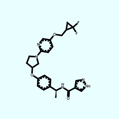 C[C@H](NC(=O)c1cn[nH]c1)c1ccc(OC2CCN(c3ccc(OCC4CC4(F)F)cn3)C2)cc1